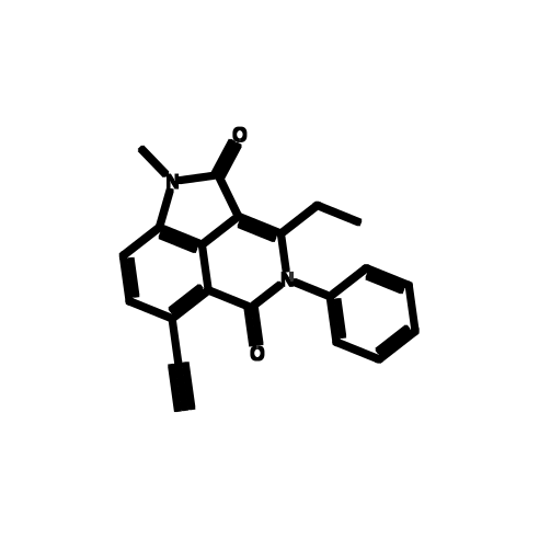 C#Cc1ccc2c3c(c(CC)n(-c4ccccc4)c(=O)c13)C(=O)N2C